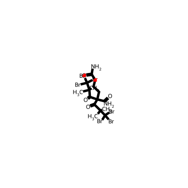 CC(C)(C(=O)C(CCCC(N)=O)(C(N)=O)C(=O)C(C)(C)C(Br)(Br)Br)C(Br)(Br)Br